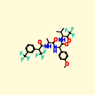 COc1ccc(C(NC(=O)C(C)NC(=O)C(c2cccc(C(F)(F)F)c2)C(F)(F)F)C(=O)NC(C(=O)C(F)(F)F)C(C)C)cc1